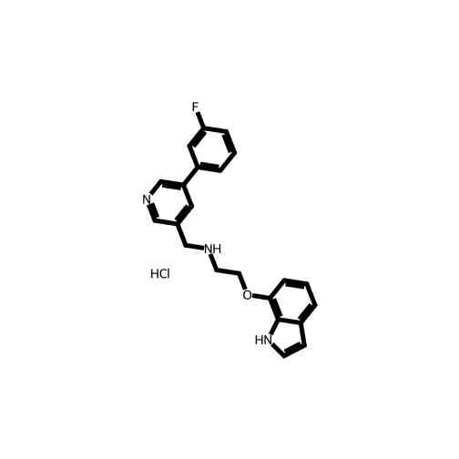 Cl.Fc1cccc(-c2cncc(CNCCOc3cccc4cc[nH]c34)c2)c1